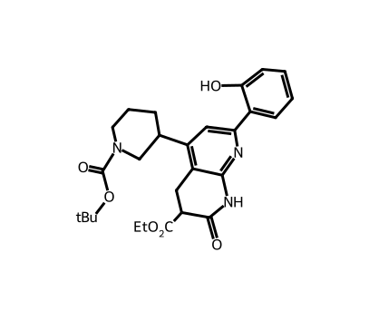 CCOC(=O)C1Cc2c(C3CCCN(C(=O)OC(C)(C)C)C3)cc(-c3ccccc3O)nc2NC1=O